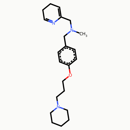 CN(CC1=CCCC=N1)Cc1ccc(OCCCN2CCCCC2)cc1